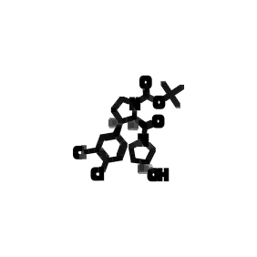 CC(C)(C)OC(=O)N1CC[C@H](c2ccc(Cl)c(Cl)c2)[C@@H]1C(=O)N1CC[C@@H](O)C1